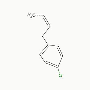 C/C=C\Cc1ccc(Cl)cc1